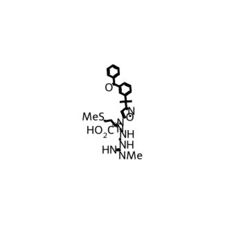 CNC(=N)NCNN1N(c2cc(C(C)(C)c3cccc(C(=O)c4ccccc4)c3)no2)[C@]1(CCSC)C(=O)O